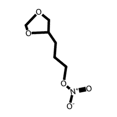 O=[N+]([O-])OCCCC1COCO1